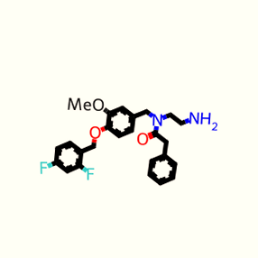 COc1cc(CN(CCN)C(=O)Cc2ccccc2)ccc1OCc1ccc(F)cc1F